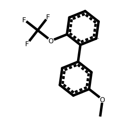 COc1cccc(-c2[c]cccc2OC(F)(F)F)c1